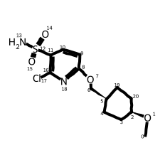 CO[C@H]1CC[C@@H](COc2ccc(S(N)(=O)=O)c(Cl)n2)CC1